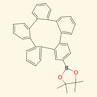 CC1(C)OB(c2ccc3c4ccccc4c4ccccc4c4ccccc4c4ccccc4c3c2)OC1(C)C